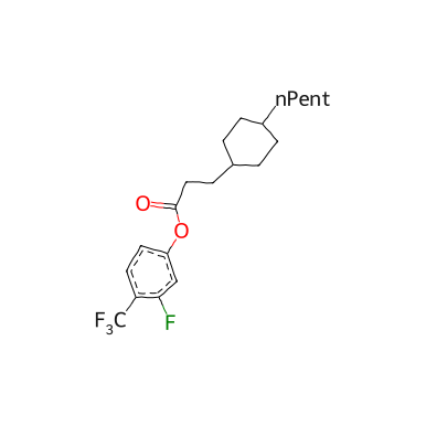 CCCCCC1CCC(CCC(=O)Oc2ccc(C(F)(F)F)c(F)c2)CC1